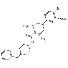 CSc1nc(N2C[C@@H](C)N(C(=O)OC3CCN(Cc4ccccc4)CC3)[C@@H](C)C2)ncc1Br